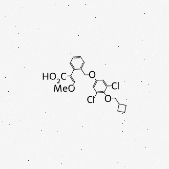 COC=C(C(=O)O)c1ccccc1COc1cc(Cl)c(OCC2CCC2)c(Cl)c1